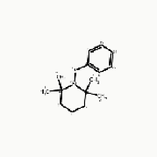 CC1(C)C[CH]CC(C)(C)N1Sc1ccccc1